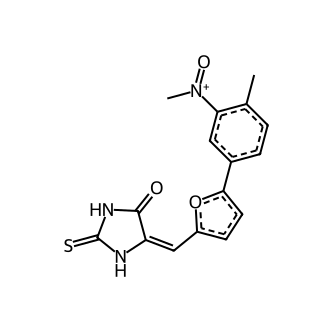 Cc1ccc(-c2ccc(C=C3NC(=S)NC3=O)o2)cc1[N+](C)=O